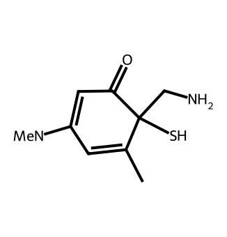 CNC1=CC(=O)C(S)(CN)C(C)=C1